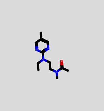 CCN(CCN(C)C(C)=O)c1ncc(C)cn1